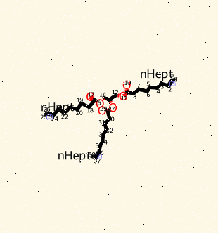 CCCCCCC/C=C\CCCCCCC(=O)OCC(COC(=O)CCCCCC/C=C\CCCCCCC)OC(=O)CCCCCC/C=C\CCCCCCC